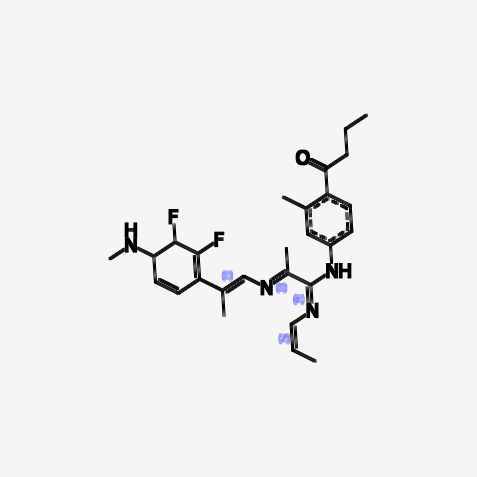 C\C=C/N=C(Nc1ccc(C(=O)CCC)c(C)c1)\C(C)=N\C=C(/C)C1=C(F)C(F)C(NC)C=C1